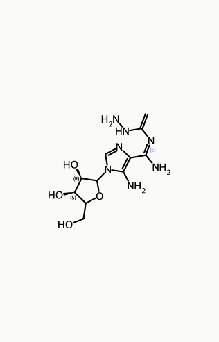 C=C(/N=C(/N)c1ncn(C2OC(CO)[C@@H](O)[C@H]2O)c1N)NN